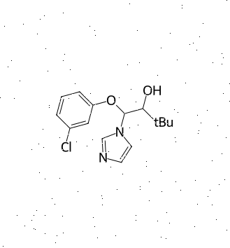 CC(C)(C)C(O)C(Oc1cccc(Cl)c1)n1ccnc1